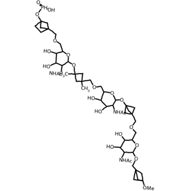 COC12CC(COC3OC(COCC45CC(OC6OC(COCC7(C)CC(C)(OC8OC(COCC9%10CCC(O[PH](=O)O)(C9)C%10)C(O)C(O)C8NC(C)=O)C7)C(O)C(O)C6NC(C)=O)(C4)C5)C(O)C(O)C3NC(C)=O)(C1)C2